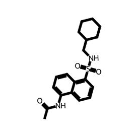 CC(=O)Nc1cccc2c(S(=O)(=O)NCC3CCCCC3)cccc12